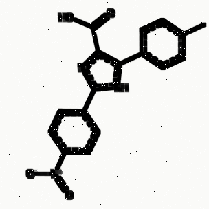 Cc1ccc(-c2[nH]c(-c3ccc([N+](=O)[O-])cc3)nc2C(=O)O)cc1